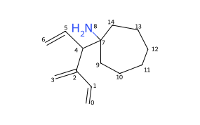 C=CC(=C)C(C=C)C1(N)CCCCCC1